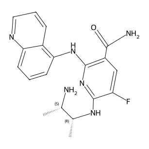 C[C@H](N)[C@@H](C)Nc1nc(Nc2cccc3ncccc23)c(C(N)=O)cc1F